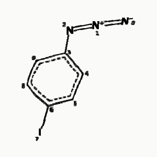 [N-]=[N+]=Nc1ccc(I)cc1